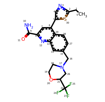 CCc1ncc(-c2cc(C(N)=O)nc3cc(CN4CCOC(C(F)(F)F)C4)ccc23)s1